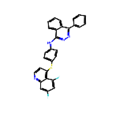 Fc1cc(F)c2c(Sc3ccc(Nc4nnc(-c5ccccc5)c5ccccc45)cc3)ccnc2c1